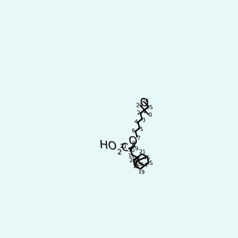 CC1(CCCCCCOC=C(CC23CC4CC(CC(C4)C2)C3)C(=O)O)COC1